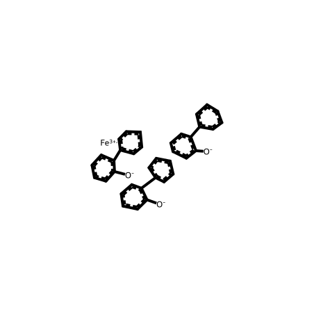 [Fe+3].[O-]c1ccccc1-c1ccccc1.[O-]c1ccccc1-c1ccccc1.[O-]c1ccccc1-c1ccccc1